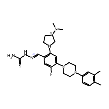 Cc1ccc(N2CCN(c3cc(N4CC[C@@H](N(C)C)C4)c(/C=N/NC(N)=S)cc3F)CC2)cc1C